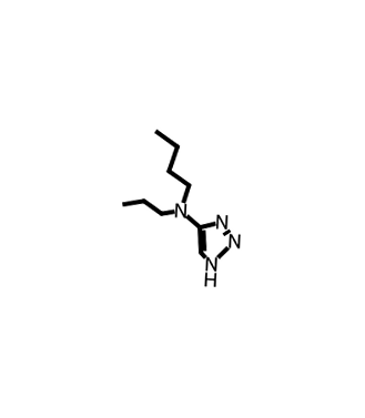 CCCCN(CCC)c1c[nH]nn1